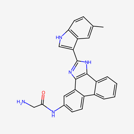 Cc1ccc2[nH]cc(-c3nc4c5cc(NC(=O)CN)ccc5c5ccccc5c4[nH]3)c2c1